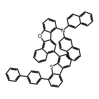 c1ccc(-c2ccc(-c3cccc4c3sc3c(-c5cc6c(oc7cccc(N(c8ccc9ccccc9c8)c8ccc9ccccc9c8)c76)c6ccccc56)cccc34)cc2)cc1